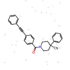 N#CC1(c2ccccc2)CCN(C(=O)c2ccc(C#Cc3ccccc3)cc2)CC1